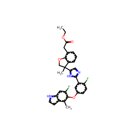 CCOC(=O)Cc1cccc2c1OCC2(C)c1cnc(-c2cc(Oc3c(F)cc4[nH]ccc4c3C)ccc2F)[nH]1